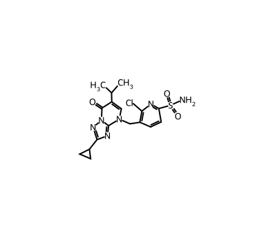 CC(C)c1cn(Cc2ccc(S(N)(=O)=O)nc2Cl)c2nc(C3CC3)nn2c1=O